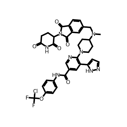 CN(Cc1ccc2c(c1)C(=O)N(C1CCC(=O)NC1=O)C2=O)C1CCN(c2ncc(C(=O)Nc3ccc(OC(F)(F)Cl)cc3)cc2-c2ccn[nH]2)CC1